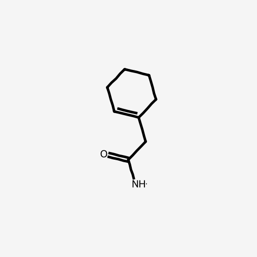 [NH]C(=O)CC1=CCCCC1